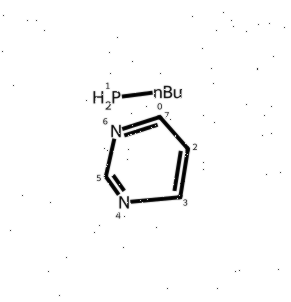 CCCCP.c1cncnc1